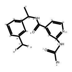 CC(C)C(=O)Nc1cc(C(=O)NC(C)c2cccc(C(F)F)c2)ccn1